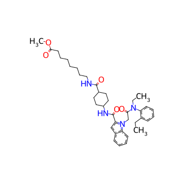 CCc1ccccc1N(CC)C(=O)Cn1c(C(=O)NC2CCC(C(=O)NCCCCCCCC(=O)OC)CC2)cc2ccccc21